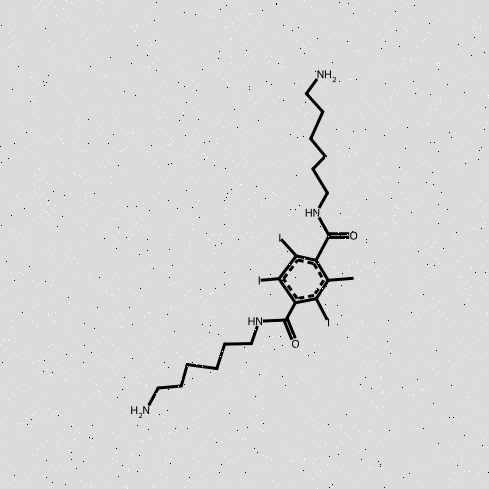 Cc1c(I)c(C(=O)NCCCCCCN)c(I)c(I)c1C(=O)NCCCCCCN